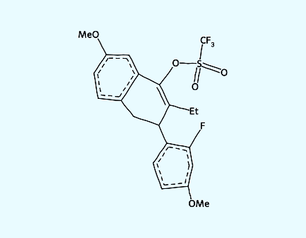 CCC1=C(OS(=O)(=O)C(F)(F)F)c2cc(OC)ccc2CC1c1ccc(OC)cc1F